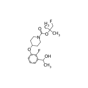 CC(O)c1cccc(OC2CCN(C(=O)OC(C)(C)CF)CC2)c1F